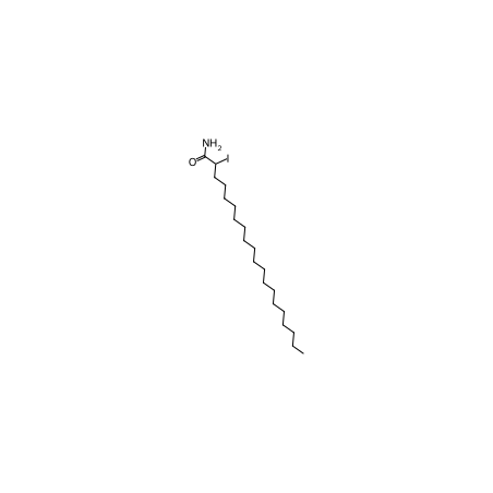 CCCCCCCCCCCCCCCCCCC(I)C(N)=O